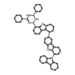 c1ccc(C2=NC(c3cccc4c3oc3cccc(-c5ccc6oc7c(-n8c9ccccc9c9ccccc98)cccc7c6c5)c34)NC(c3ccccc3)N2)cc1